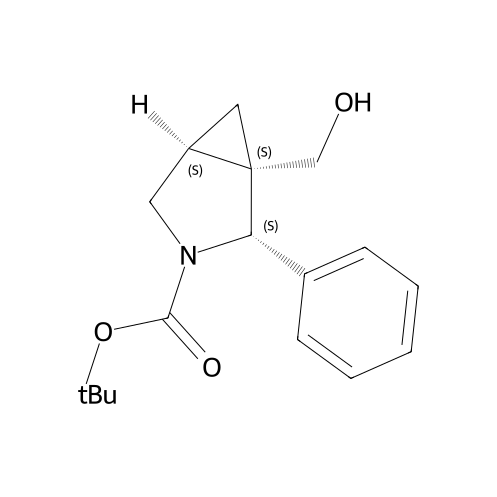 CC(C)(C)OC(=O)N1C[C@H]2C[C@@]2(CO)[C@@H]1c1ccccc1